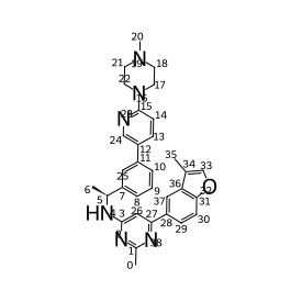 Cc1nc(N[C@@H](C)c2cccc(-c3ccc(N4CCN(C)CC4)nc3)c2)cc(-c2ccc3occ(C)c3c2)n1